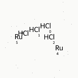 Cl.Cl.Cl.Cl.[Ru].[Ru]